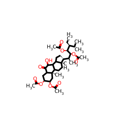 CC[C@@H](C(C)C)[C@H](OC(C)=O)[C@@H](OC(C)=O)[C@@H](C)[C@H]1CCC2C3C(O)C(=O)C4C[C@H](OC(C)=O)[C@H](OC(C)=O)C[C@]4(C)C3CC[C@@]21C